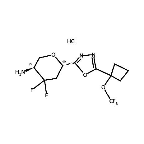 Cl.N[C@H]1CO[C@H](c2nnc(C3(OC(F)(F)F)CCC3)o2)CC1(F)F